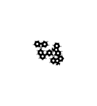 CC1(C)c2ccccc2-c2c(N(c3cccc(-c4cccc5ccc(-n6c7ccccc7c7ccccc76)cc45)c3)c3cccc4c3C(C)(C)c3ccccc3-4)cccc21